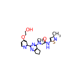 Cc1cc(NC(=O)CN(C)c2nc(-c3cc(OCCO)ccn3)nc3c2CCC3)sn1